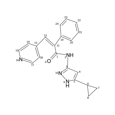 O=C(Nc1cc(C2CC2)[nH]n1)C(=Cc1ccncc1)c1ccccc1